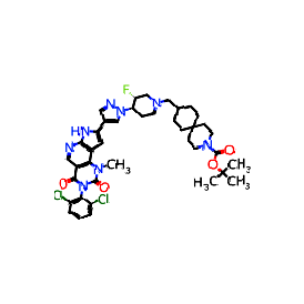 Cn1c(=O)n(-c2c(Cl)cccc2Cl)c(=O)c2cnc3[nH]c(-c4cnn([C@@H]5CCN(CC6CCC7(CC6)CCN(C(=O)OC(C)(C)C)CC7)C[C@H]5F)c4)cc3c21